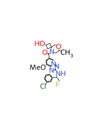 COc1cc(C(=O)N2CC(C)OCC23CC(O)C3)cn2nc(NC(CF)c3cccc(Cl)c3)nc12